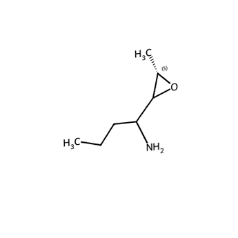 CCCC(N)C1O[C@H]1C